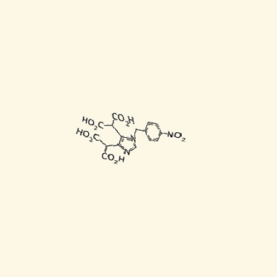 O=C(O)C(C(=O)O)c1ncn(Cc2ccc([N+](=O)[O-])cc2)c1C(C(=O)O)C(=O)O